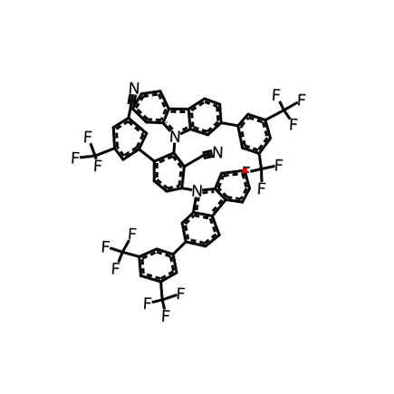 N#Cc1cc(-c2ccc(-n3c4ccccc4c4ccc(-c5cc(C(F)(F)F)cc(C(F)(F)F)c5)cc43)c(C#N)c2-n2c3ccccc3c3ccc(-c4cc(C(F)(F)F)cc(C(F)(F)F)c4)cc32)cc(C(F)(F)F)c1